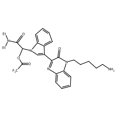 CCN(CC)C(=O)C(OC(=O)C(F)(F)F)n1cc(-c2nc3ccccc3n(CCCCCN)c2=O)c2ccccc21